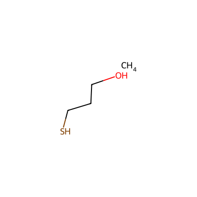 C.OCCCS